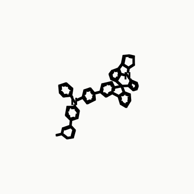 CC1C=C(c2ccc(N(c3ccccc3)c3ccc(-c4ccc5c(c4)-c4ccccc4C54c5ccccc5N5c6c(cccc64)C4=CC=CCC45)cc3)cc2)C=CC1